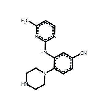 N#Cc1ccc(N2CCNCC2)c(Nc2nccc(C(F)(F)F)n2)c1